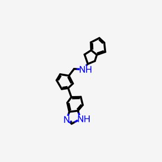 c1cc(CNC2Cc3ccccc3C2)cc(-c2ccc3[nH]cnc3c2)c1